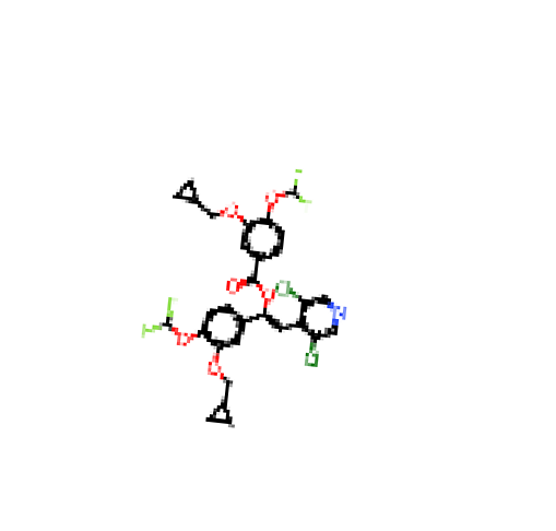 O=C(OC(=Cc1c(Cl)cncc1Cl)c1ccc(OC(F)F)c(OCC2CC2)c1)c1ccc(OC(F)F)c(OCC2CC2)c1